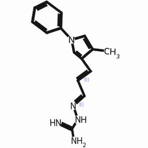 Cc1cn(-c2ccccc2)cc1/C=C/C=N/NC(=N)N